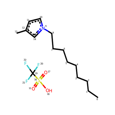 CCCCCCCCCn1ccc(C)c1.O=S(=O)(O)C(F)(F)F